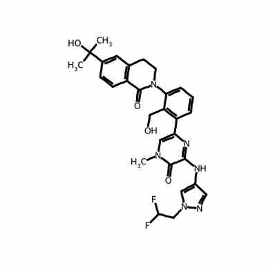 Cn1cc(-c2cccc(N3CCc4cc(C(C)(C)O)ccc4C3=O)c2CO)nc(Nc2cnn(CC(F)F)c2)c1=O